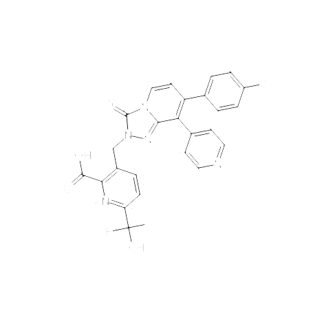 CC(F)(F)c1ccc(Cn2nc3c(-c4ccncc4)c(-c4ccc(Cl)cc4)ccn3c2=O)c(C(=O)O)n1